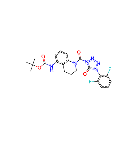 CC(C)(C)OC(=O)Nc1cccc2c1CCCN2C(=O)n1nnn(-c2c(F)cccc2F)c1=O